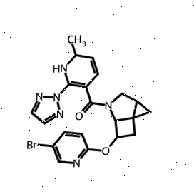 CC1C=CC(C(=O)N2CC3CC34CC(Oc3ccc(Br)cn3)C24)=C(n2nccn2)N1